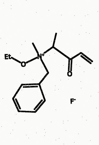 C=CC(=O)C(C)[N+](C)(Cc1ccccc1)OCC.[F-]